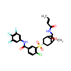 C/C=C/C(=O)NC[C@@]1(O)C2C[C@@H](S(=O)(=O)c3cc(C(=O)Nc4cc(F)c(F)c(F)c4)ccc3Cl)CC1[C@@H](C)C2